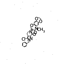 CN1C(=O)[C@@H](N2CCc3c(nn(Cc4ccccc4)c3Cl)C2=O)COc2cc3c(cc21)OCCO3